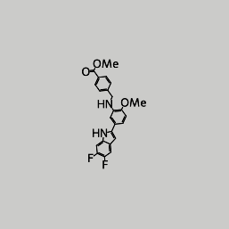 COC(=O)c1ccc(CNc2cc(-c3cc4cc(F)c(F)cc4[nH]3)ccc2OC)cc1